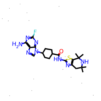 CC1(C)Cc2nc(NC(=O)C3CCC(n4cnc5c(N)nc(F)nc54)CC3)sc2C(C)(C)N1